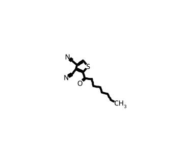 CCCCCCCC(=O)c1scc(C#N)c1C#N